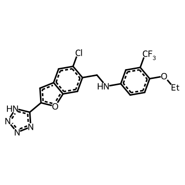 CCOc1ccc(NCc2cc3oc(-c4nnn[nH]4)cc3cc2Cl)cc1C(F)(F)F